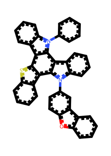 c1ccc(-n2c3ccccc3c3c4sc5ccccc5c4c4c(c5ccccc5n4-c4ccc5oc6ccccc6c5c4)c32)cc1